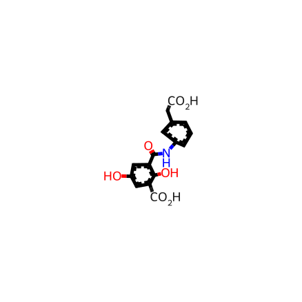 O=C(O)Cc1cccc(NC(=O)c2cc(O)cc(C(=O)O)c2O)c1